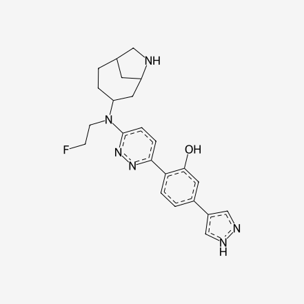 Oc1cc(-c2cn[nH]c2)ccc1-c1ccc(N(CCF)C2CCC3CNC(C3)C2)nn1